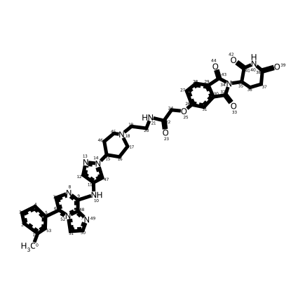 Cc1cccc(-c2cnc(Nc3cnn(C4CCN(CCNC(=O)COc5ccc6c(c5)C(=O)N(C5CCC(=O)NC5=O)C6=O)CC4)c3)c3nccn23)c1